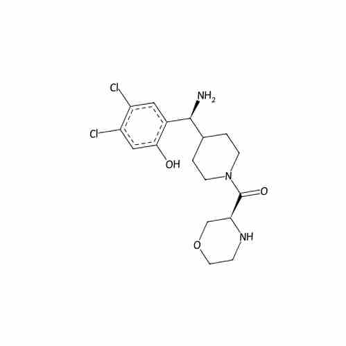 N[C@H](c1cc(Cl)c(Cl)cc1O)C1CCN(C(=O)[C@@H]2COCCN2)CC1